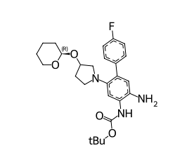 CC(C)(C)OC(=O)Nc1cc(N2CCC(O[C@@H]3CCCCO3)C2)c(-c2ccc(F)cc2)cc1N